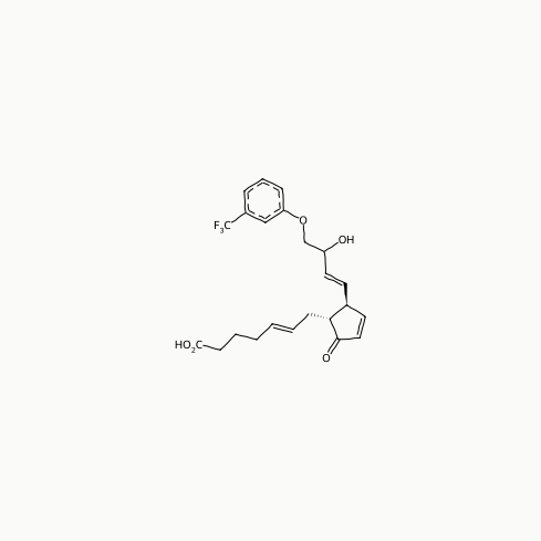 O=C(O)CCCC=CC[C@H]1C(=O)C=C[C@@H]1C=CC(O)COc1cccc(C(F)(F)F)c1